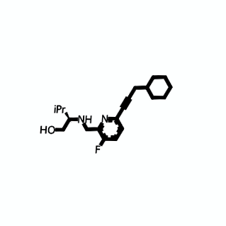 CC(C)[C@H](CO)NCc1nc(C#CCC2CCCCC2)ccc1F